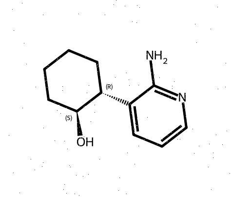 Nc1ncccc1[C@H]1CCCC[C@@H]1O